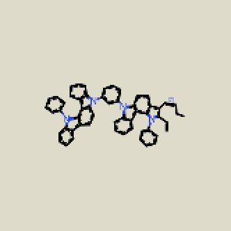 C=Cc1c(/C=C\CC)c2ccc3c(c4ccccc4n3-c3cccc(-n4c5ccccc5c5c4ccc4c6ccccc6n(-c6ccccc6)c45)c3)c2n1-c1ccccc1